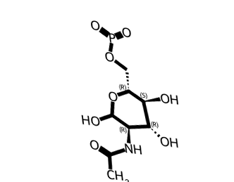 CC(=O)N[C@H]1C(O)O[C@H](COP(=O)=O)[C@@H](O)[C@@H]1O